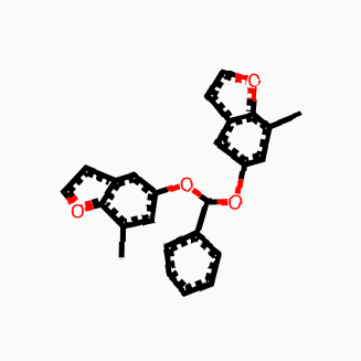 Cc1cc(OC(Oc2cc(C)c3occc3c2)c2ccccc2)cc2ccoc12